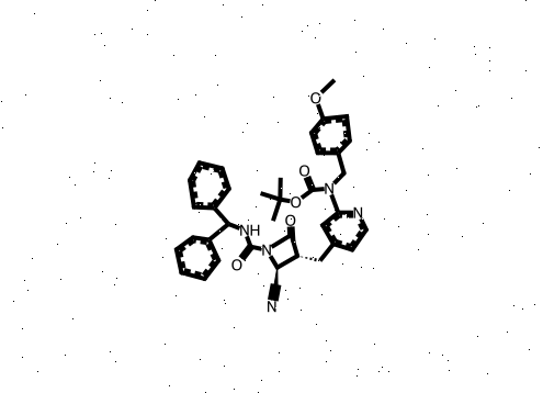 COc1ccc(CN(C(=O)OC(C)(C)C)c2cc(C[C@H]3C(=O)N(C(=O)NC(c4ccccc4)c4ccccc4)[C@@H]3C#N)ccn2)cc1